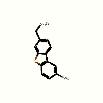 CCOC(=O)Cc1ccc2c(c1)sc1ccc(SC)cc12